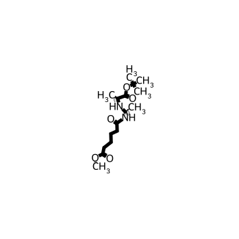 COC(=O)CCCCC(=O)N[C@@H](C)N[C@@H](C)C(=O)OC(C)(C)C